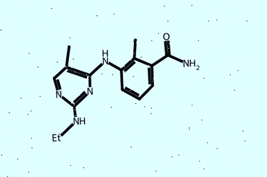 CCNc1ncc(C)c(Nc2cccc(C(N)=O)c2C)n1